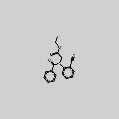 CCOC(=O)CN(C(=O)c1ccccc1)c1ccccc1C#N